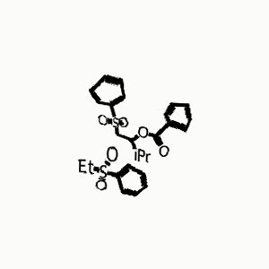 CC(C)C(CS(=O)(=O)c1ccccc1)OC(=O)c1ccccc1.CCS(=O)(=O)c1ccccc1